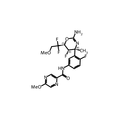 COCC(F)(F)[C@H]1OC(N)=N[C@](C)(c2cc(NC(=O)c3cnc(OC)cn3)ccc2F)[C@H]1F